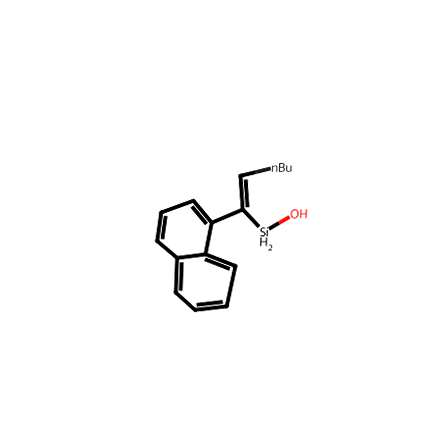 CCCCC=C([SiH2]O)c1cccc2ccccc12